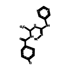 N#CN=C(Nc1cncnc1)NC(NC(=O)c1ccc(Cl)cc1)C(Cl)(Cl)Cl